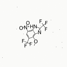 COc1c(C(F)(F)F)cc([N+](=O)[O-])c2[nH]c(C(F)(F)F)nc12